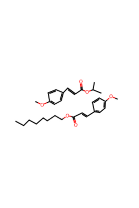 CCCCCCCCOC(=O)C=Cc1ccc(OC)cc1.COc1ccc(C=CC(=O)OC(C)C)cc1